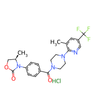 Cc1cc(C(F)(F)F)cnc1N1CCN(C(=O)c2ccc(N3C(=O)OC[C@H]3C)cc2)CC1.Cl